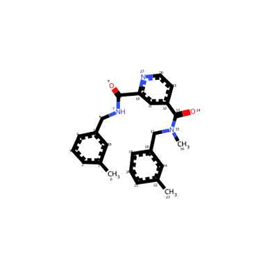 Cc1cccc(CNC(=O)c2cc(C(=O)N(C)Cc3cccc(C)c3)ccn2)c1